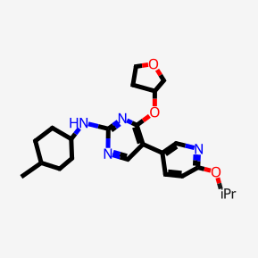 CC1CCC(Nc2ncc(-c3ccc(OC(C)C)nc3)c(OC3CCOC3)n2)CC1